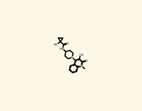 Cn1c(=O)c(C#N)c(N2CCC(NC(=O)C3(C#N)CC3)CC2)c2ccccc21